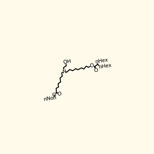 CCCCCCCCCOC(=O)CCCCCCCN(CCO)CCCCCCCCCOC(=O)C(CCCCCC)CCCCCC